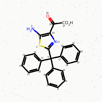 Nc1sc(C(c2ccccc2)(c2ccccc2)c2ccccc2)nc1C(=O)C(=O)O